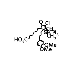 COc1ccc(CCCC2(O[Si](C)(C)C)C=C(Cl)C(=O)/C2=C/CCCCCC(=O)O)cc1OC